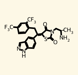 C[C@H](N)CN1C(=O)S/C(=C(/Cc2ccc(C(F)(F)F)cc2C(F)(F)F)c2ccc3[nH]ncc3c2)C1=O